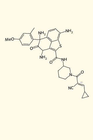 COc1ccc(C2(N)C(=O)C(N)c3c(C(=O)NC4CCCN(C(=O)/C(C#N)=C/C5CC5)C4)sc4c(N)ccc2c34)c(C)c1